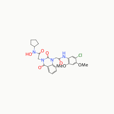 COc1cc(OC)c(NC(=O)Cn2c(=O)n(CC(=O)N(O)C3CCCC3)c(=O)c3ccccc32)cc1Cl